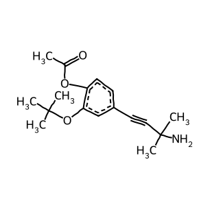 CC(=O)Oc1ccc(C#CC(C)(C)N)cc1OC(C)(C)C